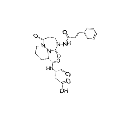 O=C[C@H](CC(=O)O)NC(=O)[C@@H]1CCCN2C(=O)CCN(NC(=O)/C=C/c3ccccc3)C(=O)N12